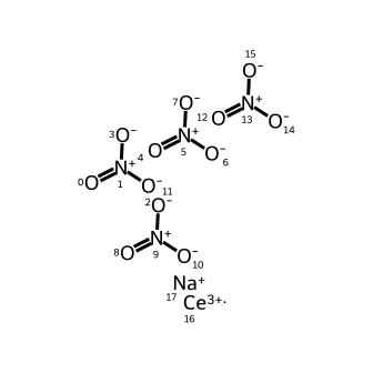 O=[N+]([O-])[O-].O=[N+]([O-])[O-].O=[N+]([O-])[O-].O=[N+]([O-])[O-].[Ce+3].[Na+]